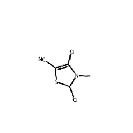 CN1C(Cl)=C(C#N)SC1Cl